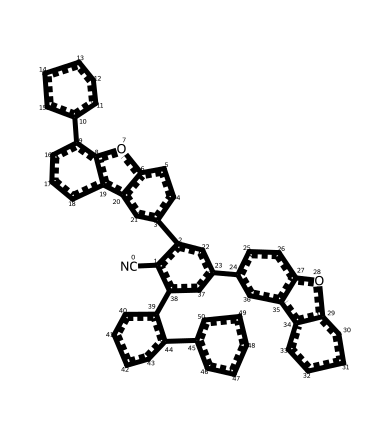 N#Cc1c(-c2ccc3oc4c(-c5ccccc5)cccc4c3c2)cc(-c2ccc3oc4ccccc4c3c2)cc1-c1ccccc1-c1ccccc1